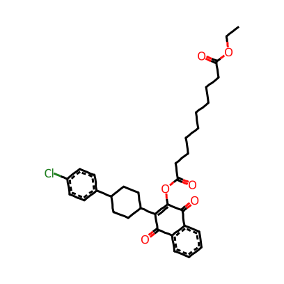 CCOC(=O)CCCCCCCCC(=O)OC1=C(C2CCC(c3ccc(Cl)cc3)CC2)C(=O)c2ccccc2C1=O